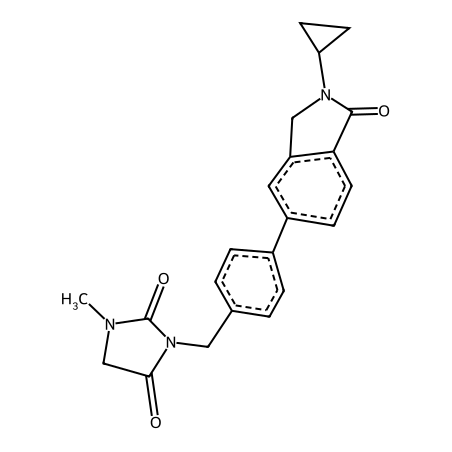 CN1CC(=O)N(Cc2ccc(-c3ccc4c(c3)CN(C3CC3)C4=O)cc2)C1=O